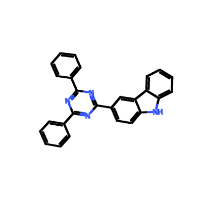 c1ccc(-c2nc(-c3ccccc3)nc(-c3ccc4[nH]c5ccccc5c4c3)n2)cc1